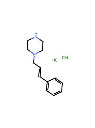 C(=C\c1ccccc1)/CN1CCNCC1.Cl.Cl